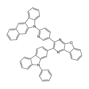 c1ccc(-n2c3ccccc3c3ccc(-c4nc5c(nc4-c4ccc(-n6c7ccccc7c7cc8ccccc8cc76)nc4)oc4ccccc45)cc32)cc1